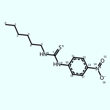 CCCCCCNC(=S)Nc1ccc([N+](=O)[O-])cc1